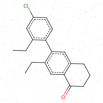 CCc1cc(Cl)ccc1-c1cc2c(cc1CC)C(=O)CCC2